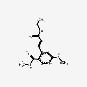 CCOC(=O)/C=C/c1cc(OC)ncc1C(=O)OC